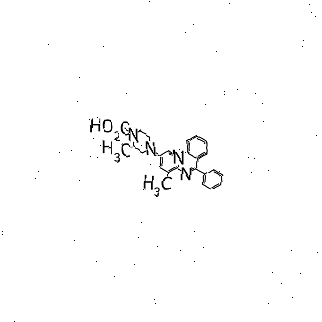 Cc1cc(N2CCN(C(=O)O)[C@@H](C)C2)cnc1N=C(c1ccccc1)c1ccccc1